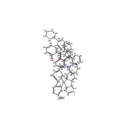 CC(C)(C)c1ccc2c(c1)C1(c3ccccc3-c3ccc(N(c4ccc5c(c4)C4(c6ccccc6O5)c5cc(C6CCCCC6)ccc5-c5ccc(C6CCCCC6)cc54)c4ccccc4-c4cccc5ccccc45)cc31)c1cc(C(C)(C)C)ccc1-2